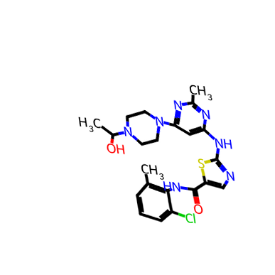 Cc1nc(Nc2ncc(C(=O)Nc3c(C)cccc3Cl)s2)cc(N2CCN(C(C)O)CC2)n1